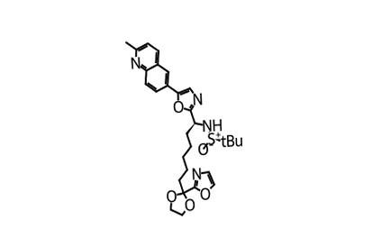 Cc1ccc2cc(-c3cnc([C@H](CCCCCC4(c5ncco5)OCCO4)N[S@+]([O-])C(C)(C)C)o3)ccc2n1